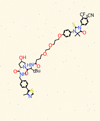 Cc1ncsc1-c1ccc(CNC(=O)[C@@H]2C[C@@H](O)CN2C(=O)C(NC(=O)CCCOCCOCCCOc2ccc(N3C(=S)N(c4ccc(C#N)c(C(F)(F)F)c4)C(=O)C3(C)C)cc2)C(C)(C)C)cc1